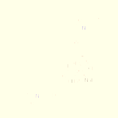 CC(C)(Oc1ccc(OCCc2coc(-c3ccccc3)n2)cc1)C(=O)OC(=O)C(C)(C)Oc1ccc(OCCc2coc(-c3ccccc3)n2)cc1.[NaH]